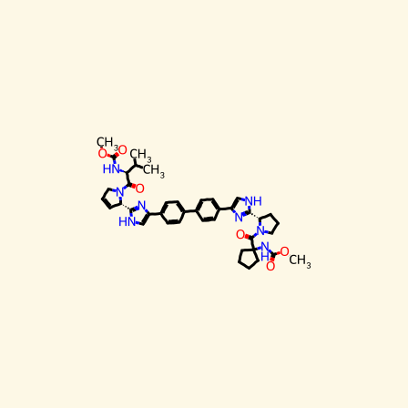 COC(=O)N[C@H](C(=O)N1CC=C[C@H]1c1nc(-c2ccc(-c3ccc(-c4c[nH]c([C@@H]5CCCN5C(=O)C5(NC(=O)OC)CCCC5)n4)cc3)cc2)c[nH]1)C(C)C